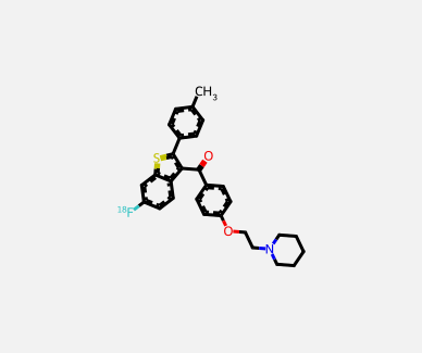 Cc1ccc(-c2sc3cc([18F])ccc3c2C(=O)c2ccc(OCCN3CCCCC3)cc2)cc1